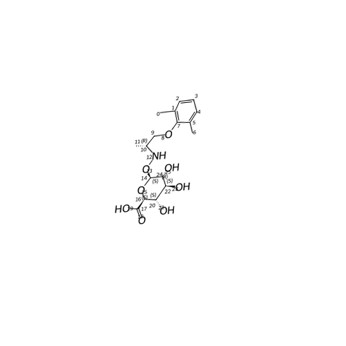 Cc1cccc(C)c1OC[C@@H](C)NO[C@@H]1O[C@H](C(=O)O)[C@@H](O)[C@H](O)[C@H]1O